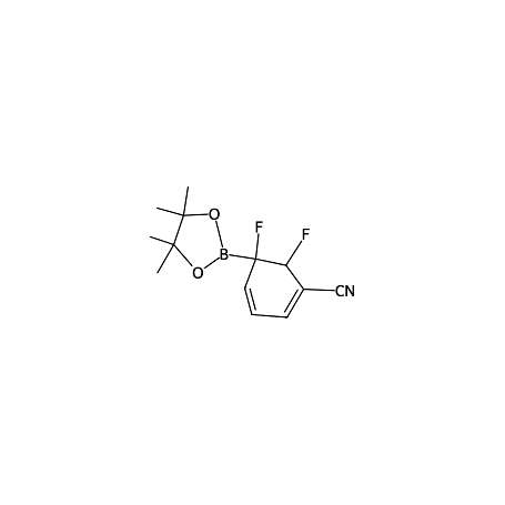 CC1(C)OB(C2(F)C=CC=C(C#N)C2F)OC1(C)C